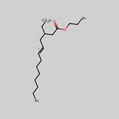 CC(=O)CCCCCC/C=C/CC(CC(=O)O)CC(=O)OCCC(C)C